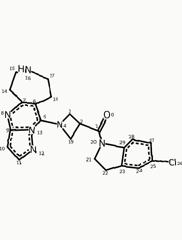 O=C(C1CN(c2c3c(nc4ccnn24)CCNCC3)C1)N1CCc2cc(Cl)ccc21